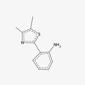 Cc1nc(-c2ccccc2N)sc1C